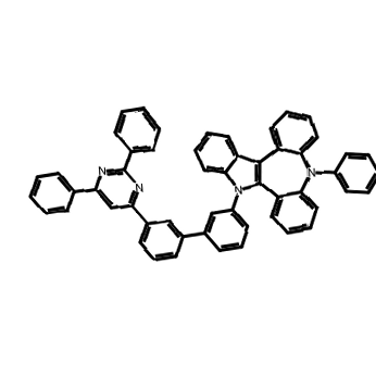 c1ccc(-c2cc(-c3cccc(-c4cccc(-n5c6c(c7ccccc75)-c5ccccc5N(c5ccccc5)c5ccccc5-6)c4)c3)nc(-c3ccccc3)n2)cc1